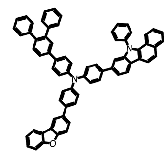 c1ccc(-c2ccc(-c3ccc(N(c4ccc(-c5ccc6oc7ccccc7c6c5)cc4)c4ccc(-c5ccc6c7ccc8ccccc8c7n(-c7ccccc7)c6c5)cc4)cc3)cc2-c2ccccc2)cc1